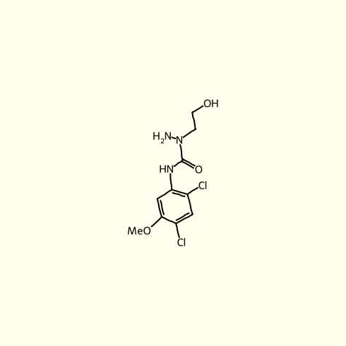 COc1cc(NC(=O)N(N)CCO)c(Cl)cc1Cl